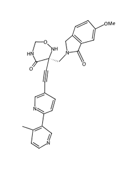 COc1ccc2c(c1)C(=O)N(C[C@@]1(C#Cc3ccc(-c4cnccc4C)nc3)NOCNC1=O)C2